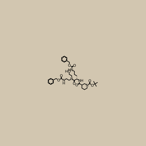 CC(C)(C)OC(=O)N1CCCC(C(=O)N[C@@H](CCCNC(=O)OCc2ccccc2)C(=O)N(CCO)CCNC(=O)OCc2ccccc2)C1